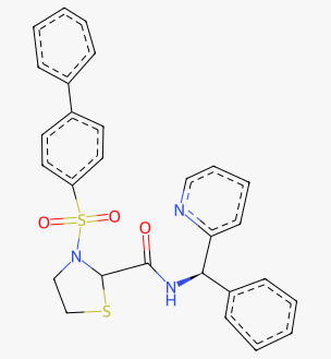 O=C(N[C@H](c1ccccc1)c1ccccn1)C1SCCN1S(=O)(=O)c1ccc(-c2ccccc2)cc1